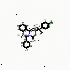 CCC(CCC(C#N)(c1ccc(F)cc1)C(C)C)N(C(C)c1ccccc1)C(C)c1ccccc1